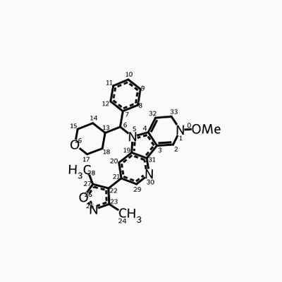 CON1C=c2c(n(C(c3ccccc3)C3CCOCC3)c3cc(-c4c(C)noc4C)cnc23)=CC1